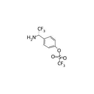 N[C@@H](c1ccc(OS(=O)(=O)C(F)(F)F)cc1)C(F)(F)F